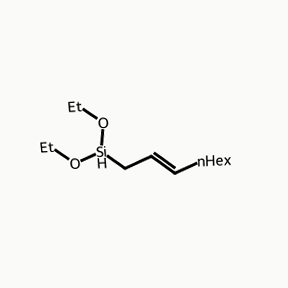 CCCCCCC=CC[SiH](OCC)OCC